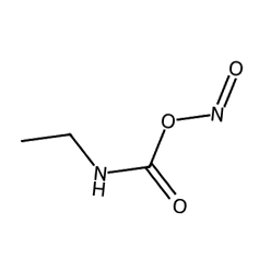 CCNC(=O)ON=O